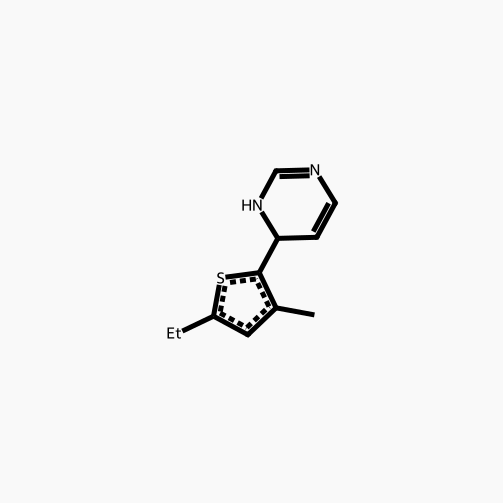 CCc1cc(C)c(C2C=CN=CN2)s1